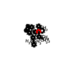 CC(C)(C)c1ccc(N2c3cc(C(C)(C)c4ccccc4)ccc3B3c4cccc5c4N(c4ccccc4C54c5ccccc5-c5ccccc54)c4cc(N5c6ccccc6C6(C)CCCCCC56C)cc2c43)c(-c2ccccc2)c1